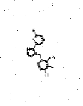 CCCc1c(Cn2ccnc2-c2cccc(F)n2)nnc(Cl)c1C